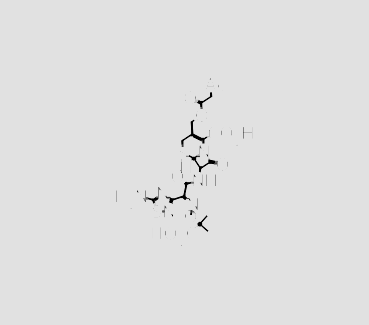 CC(=O)CC(=O)OCC1=C(C(=O)O)N2C(=O)C(NC(=O)C(=NOC(C)(C)C(=O)O)c3nsc(N)n3)[C@@H]2SC1